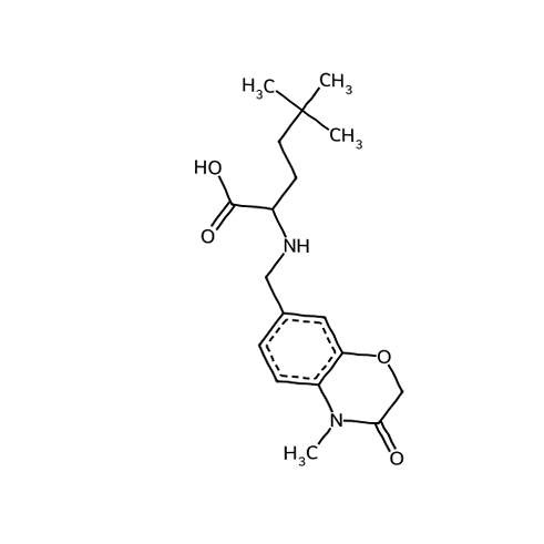 CN1C(=O)COc2cc(CNC(CCC(C)(C)C)C(=O)O)ccc21